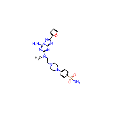 CN(CCN1CCN(c2ccc(S(N)(=O)=O)cc2)CC1)c1nc(N)n2nc(-c3ccco3)nc2n1